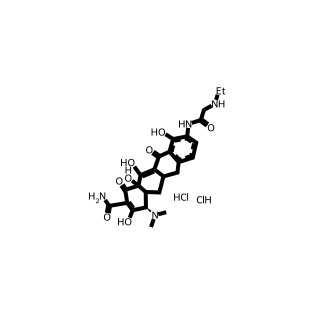 CCNCC(=O)Nc1ccc2c(c1O)C(=O)C1=C(O)C3(O)C(=O)C(C(N)=O)=C(O)[C@@H](N(C)C)C3CC1C2.Cl.Cl